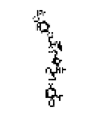 CC(C)Oc1ccc(OCc2nnc(C34CC(NC(=O)COc5ccc(Cl)c(F)c5)(C3)C4)o2)cn1